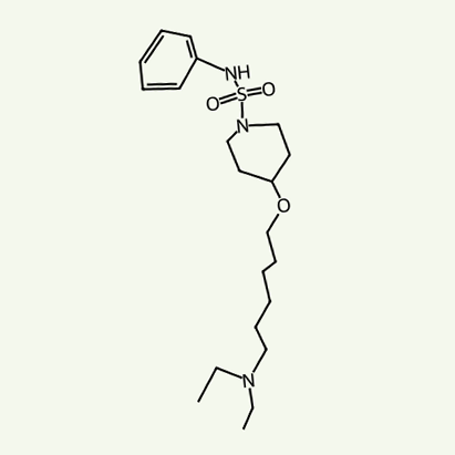 CCN(CC)CCCCCCOC1CCN(S(=O)(=O)Nc2ccccc2)CC1